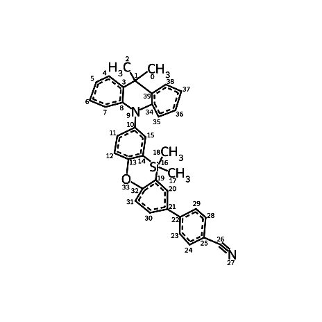 CC1(C)c2ccccc2N(c2ccc3c(c2)[Si](C)(C)c2cc(-c4ccc(C#N)cc4)ccc2O3)c2ccccc21